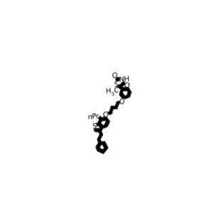 CCCc1c(OCCCCOc2cccc(C3(C)SC(=O)NC3=O)c2)ccc2c(CCc3ccccc3)csc12